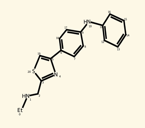 CCNCc1nc(-c2ccc(Nc3ccccc3)cc2)cs1